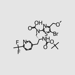 COCc1nc(N(C[C@@H](Cc2ccc(C(C)(F)F)nc2)NC(=O)OC(C)(C)C)C(=O)O)sc1Br